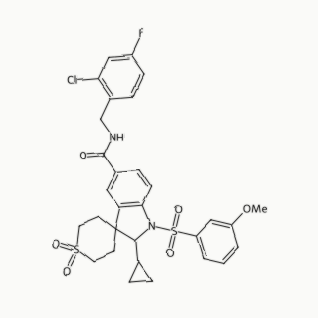 COc1cccc(S(=O)(=O)N2c3ccc(C(=O)NCc4ccc(F)cc4Cl)cc3C3(CCS(=O)(=O)CC3)C2C2CC2)c1